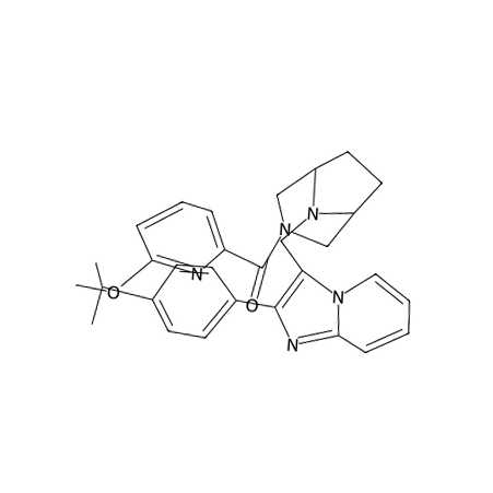 COc1cccc(C(=O)N2CC3CCC(C2)N3Cc2c(-c3ccc(C(C)C)cc3)nc3ccccn23)n1